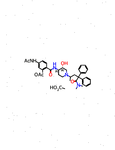 CC(=O)Nc1ccc(C(=O)N[C@@H]2CCN(C(C)CC(C(=O)N(C)C)(c3ccccc3)c3ccccc3)C[C@H]2O)c(OC(C)=O)c1.CC(=O)O